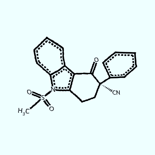 CS(=O)(=O)n1c2c(c3ccccc31)C(=O)[C@@](C#N)(c1ccccc1)CC2